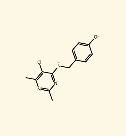 Cc1nc(C)c(Cl)c(NCc2ccc(O)cc2)n1